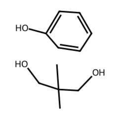 CC(C)(CO)CO.Oc1ccccc1